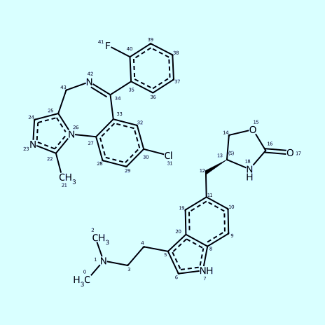 CN(C)CCc1c[nH]c2ccc(C[C@H]3COC(=O)N3)cc12.Cc1ncc2n1-c1ccc(Cl)cc1C(c1ccccc1F)=NC2